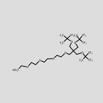 O=C(O)COCCOCCOCCOCC(COC(C(F)(F)F)(C(F)(F)F)C(F)(F)F)(COC(C(F)(F)F)(C(F)(F)F)C(F)(F)F)COC(C(F)(F)F)(C(F)(F)F)C(F)(F)F